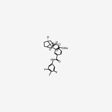 COC(=O)NC1CC2CC[C@@H](C1)[C@H]2S(=O)(=O)c1cc(C(=O)Nc2cc(F)c(F)c(F)c2)ccc1Cl